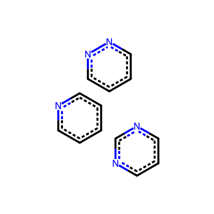 c1ccncc1.c1ccnnc1.c1cncnc1